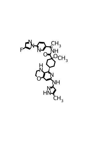 CO[C@]1(C(=O)N[C@@H](C)c2ccc(-n3cc(F)cn3)nc2)CC[C@H](c2nc(Nc3cc(C)[nH]n3)cc3c2NCCO3)CC1